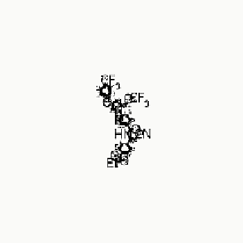 CCS(=O)(=O)c1ccc([C@H](CC#N)NC(=O)c2ccc(N3CC(Oc4ccc(C(F)(F)F)cc4)C[C@H]3COC(F)(F)F)nc2)cc1